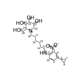 O=[N+]([O-])c1cc(C2CC2)ccc1NCCCCCCN1CC(O)C(O)C(O)C1CO